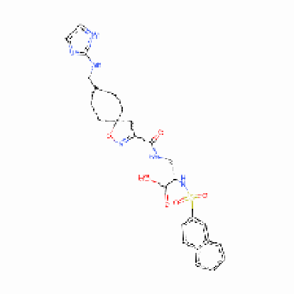 O=C(NC[C@H](NS(=O)(=O)c1ccc2ccccc2c1)C(=O)O)C1=NOC2(CCC(CNc3ncc[nH]3)CC2)C1